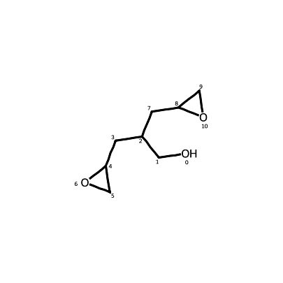 OCC(CC1CO1)CC1CO1